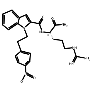 N=C(N)NCCC[C@H](NC(=O)c1cc2ccccc2n1CCc1ccc([N+](=O)[O-])cc1)C(N)=O